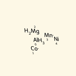 [AlH3].[Co].[MgH2].[Mn].[Ni]